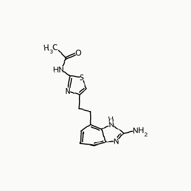 CC(=O)Nc1nc(CCc2cccc3nc(N)[nH]c23)cs1